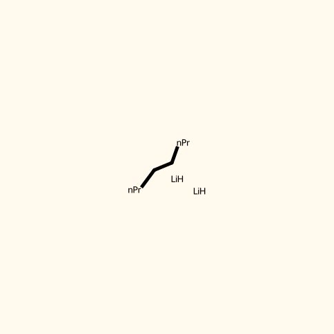 [CH2]CCCCCCC.[LiH].[LiH]